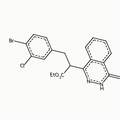 CCOC(=O)C(Cc1ccc(Br)c(Cl)c1)c1n[nH]c(=O)c2ccccc12